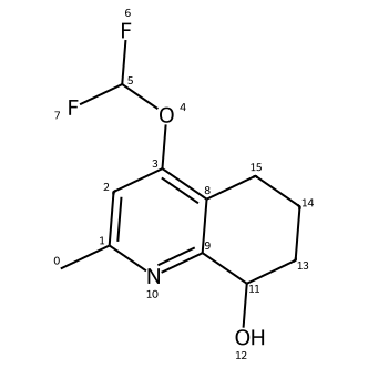 Cc1cc(OC(F)F)c2c(n1)C(O)CCC2